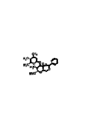 CO[C@H]1OC2COC(c3ccccc3)O[C@H]2C(O[C@@H]2CC(C)[C@@H](C)C(C)O2)[C@@H]1C